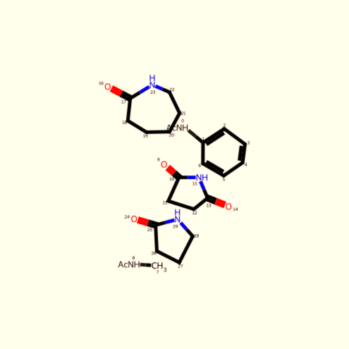 CC(=O)Nc1ccccc1.CNC(C)=O.O=C1CCC(=O)N1.O=C1CCCCCN1.O=C1CCCN1